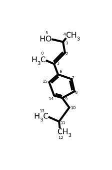 C/C(=C\C(C)O)c1ccc(CC(C)C)cc1